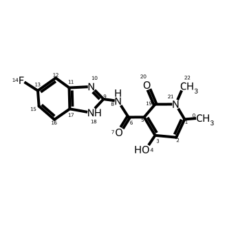 Cc1cc(O)c(C(=O)Nc2nc3cc(F)ccc3[nH]2)c(=O)n1C